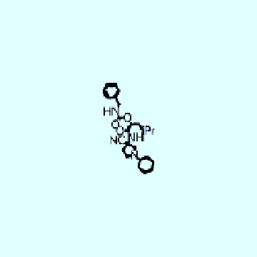 CC(C)CC(OC(=O)NCc1ccccc1)C(=O)NC1(C#N)CCN(C2CCCCC2)C1